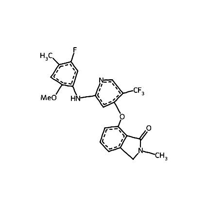 COc1cc(C)c(F)cc1Nc1cc(Oc2cccc3c2C(=O)N(C)C3)c(C(F)(F)F)cn1